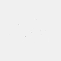 CC(=O)C(=O)[C@@](O)(C(C)=O)[C@](O)(C(C)=O)[C@@](O)(C(C)=O)[C@H](O)C(O)C(C)=O.CN(C)C